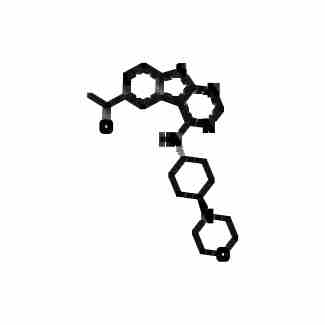 CC(=O)c1ccc2sc3ncnc(N[C@H]4CC[C@H](N5CCOCC5)CC4)c3c2c1